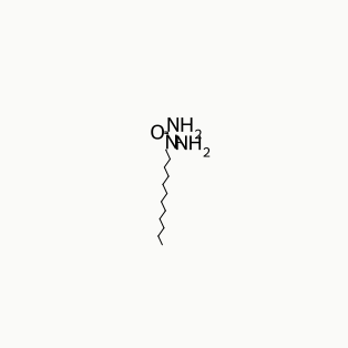 CCCCCCCCCCCCN(N)C(N)=O